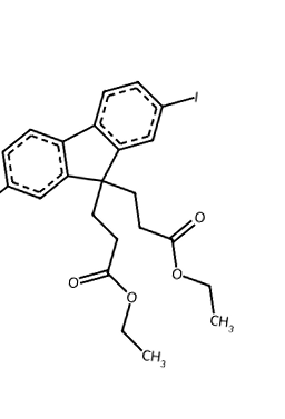 CCOC(=O)CCC1(CCC(=O)OCC)c2cc(I)ccc2-c2ccc(I)cc21